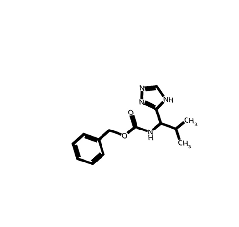 CC(C)C(NC(=O)OCc1ccccc1)c1nnc[nH]1